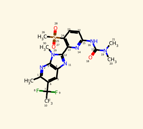 Cc1nc2c(cc1C(F)(F)C(F)(F)F)nc(-c1nc(NC(=O)N(C)C)ccc1S(C)(=O)=O)n2C